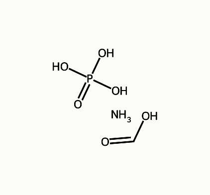 N.O=CO.O=P(O)(O)O